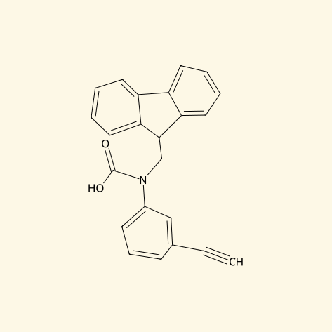 C#Cc1cccc(N(CC2c3ccccc3-c3ccccc32)C(=O)O)c1